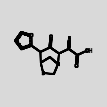 O=C(O)C(=S)C1C(=O)C(c2ccco2)C2CN1CS2